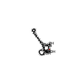 O=C(O)CN1CCN(CC(=O)O)CC[N+](CC(=O)O)(N2CCCCCCCCCCC2)CCN(CC(O)COCCCCCCCCCOCc2ccccc2)CC1